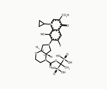 CC(OC(=O)N1CCO[C@H]2CN(c3c(F)cc4c(=O)c(C(=O)O)cn(C5CC5)c4c3C#N)C[C@@H]21)(P(=O)(O)O)P(=O)(O)O